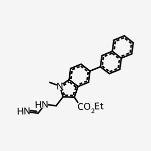 CCOC(=O)c1c(CNC=N)n(C)c2ccc(-c3ccc4ccccc4c3)cc12